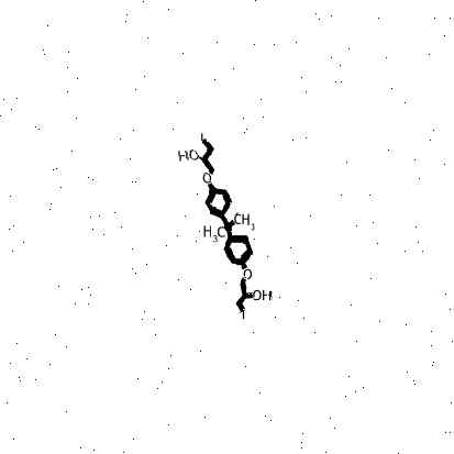 CC(C)(c1ccc(OCC(O)CI)cc1)c1ccc(OC[C@@H](O)CI)cc1